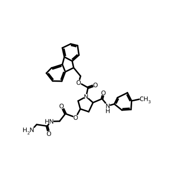 Cc1ccc(NC(=O)C2CC(OC(=O)CNC(=O)CN)CN2C(=O)OCC2c3ccccc3-c3ccccc32)cc1